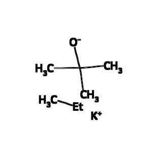 CC(C)(C)[O-].CCC.[K+]